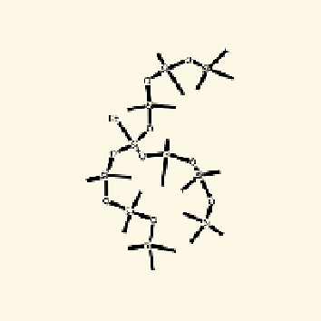 CC[Si](O[Si](C)(C)O[Si](C)(C)O[Si](C)(C)C)(O[Si](C)(C)O[Si](C)(C)O[Si](C)(C)C)O[Si](C)(C)O[Si](C)(C)O[Si](C)(C)C